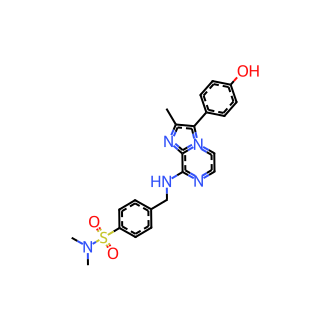 Cc1nc2c(NCc3ccc(S(=O)(=O)N(C)C)cc3)nccn2c1-c1ccc(O)cc1